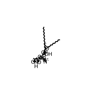 CCCCCCCCCCCCSCC(COP(=O)(O)OC[C@H]1O[C@@H](n2cc(C)c(=O)[nH]c2=O)C[C@@H]1N=[N+]=[N-])OCCCCCCCCCC